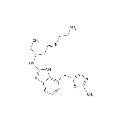 CCC(C/C=N/CCN)Nc1nc2cccc(Cc3cnc(C)o3)c2[nH]1